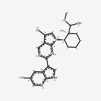 COC(O)[C@@]1(C)CCCC[C@H]1n1cc(Cl)c2cnc(-c3c[nH]c4ncc(F)cc34)nc21